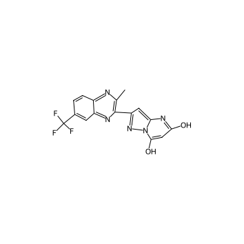 Cc1nc2ccc(C(F)(F)F)cc2nc1-c1cc2nc(O)cc(O)n2n1